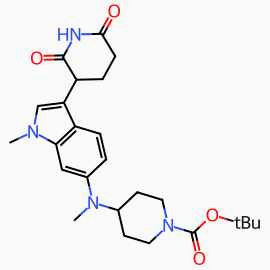 CN(c1ccc2c(C3CCC(=O)NC3=O)cn(C)c2c1)C1CCN(C(=O)OC(C)(C)C)CC1